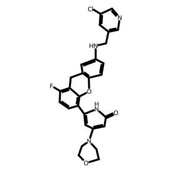 O=c1cc(N2CCOCC2)cc(-c2ccc(F)c3c2Oc2ccc(NCc4cncc(Cl)c4)cc2C3)[nH]1